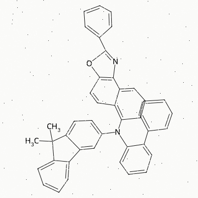 CC1(C)c2ccccc2-c2cc(N(c3ccccc3-c3ccccc3)c3cccc4c3ccc3oc(-c5ccccc5)nc34)ccc21